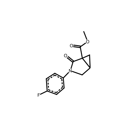 COC(=O)C12CC1CN(c1ccc(F)cc1)C2=O